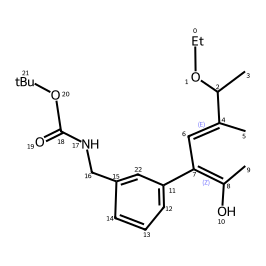 CCOC(C)/C(C)=C/C(=C(\C)O)c1cccc(CNC(=O)OC(C)(C)C)c1